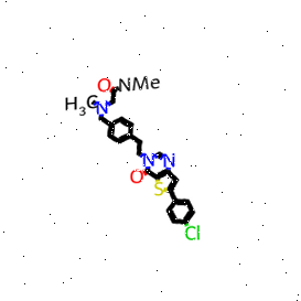 CNC(=O)CN(C)Cc1ccc(CCn2cnc3cc(-c4ccc(Cl)cc4)sc3c2=O)cc1